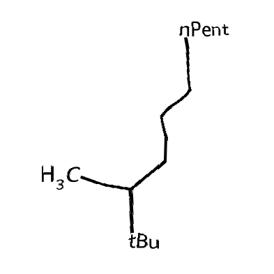 [CH2]CCCCCCCC(C)C(C)(C)C